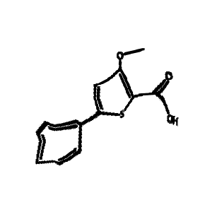 COc1cc(-c2ccccc2)sc1C(=O)O